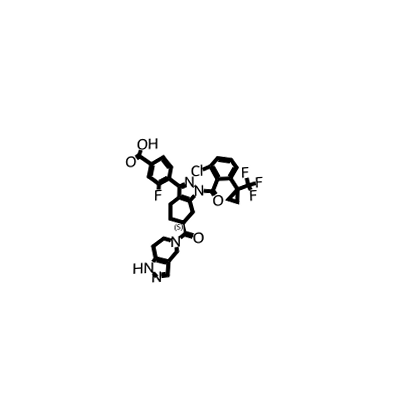 O=C(O)c1ccc(-c2nn(C(=O)c3c(Cl)cccc3C3(C(F)(F)F)CC3)c3c2CC[C@H](C(=O)N2CCc4[nH]ncc4C2)C3)c(F)c1